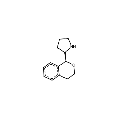 c1ccc2c(c1)CCO[C@@H]2C1CCCN1